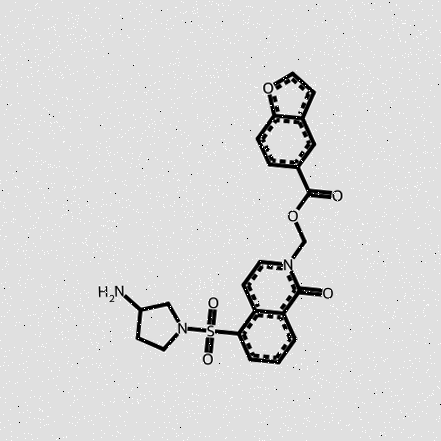 NC1CCN(S(=O)(=O)c2cccc3c(=O)n(COC(=O)c4ccc5occc5c4)ccc23)C1